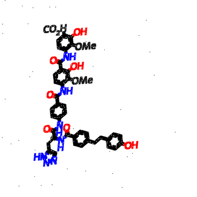 COc1c(NC(=O)c2ccc(NC(=O)c3ccc(NC(=O)[C@H](Cc4cnn[nH]4)NC(=O)c4ccc(CCc5ccc(O)cc5)cc4)cc3)c(OC)c2O)ccc(C(=O)O)c1O